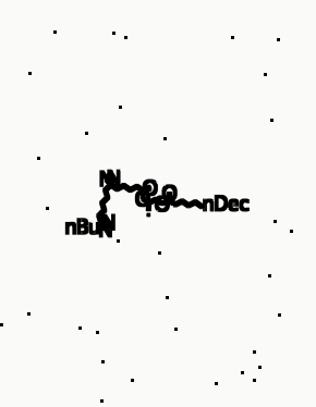 [CH2]C(COC(=O)CCCCCCCCCCCCCCC)OC(=O)CCCCC1(CCCCCC2(CCCC)N=N2)N=N1